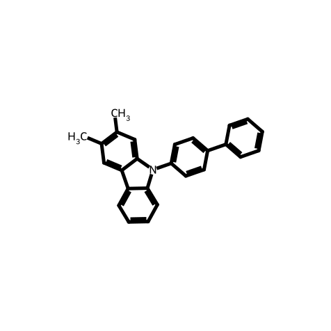 Cc1cc2c3ccccc3n(-c3ccc(-c4ccccc4)cc3)c2cc1C